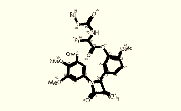 C=C1C(=O)N(c2cc(OC)c(OC)c(OC)c2)C1c1ccc(OC)c(OC(=O)C(NC(=O)OC(C)(C)C)C(C)C)c1